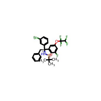 CC(C)(C)[S@@+]([O-])N[C@](Cc1ccccc1)(c1cccc(Br)c1)c1cc(F)cc(OC(F)(F)C(F)F)c1